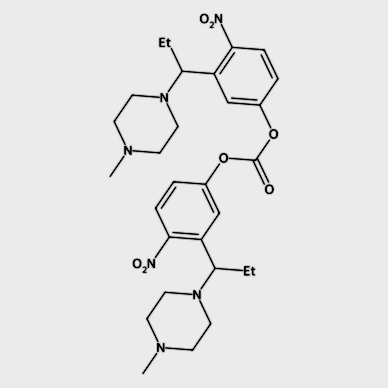 CCC(c1cc(OC(=O)Oc2ccc([N+](=O)[O-])c(C(CC)N3CCN(C)CC3)c2)ccc1[N+](=O)[O-])N1CCN(C)CC1